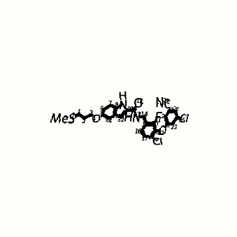 CSCCCOc1ccc2[nH]c(C(=O)NCc3ccc(Cl)c(Oc4cc(Cl)cc(C#N)c4)c3F)cc2c1